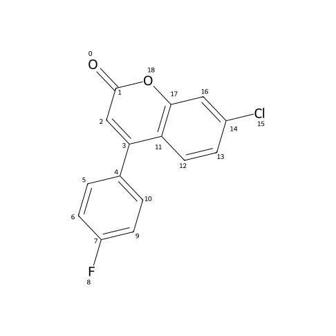 O=c1cc(-c2ccc(F)cc2)c2ccc(Cl)cc2o1